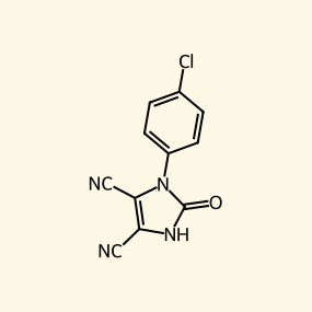 N#Cc1[nH]c(=O)n(-c2ccc(Cl)cc2)c1C#N